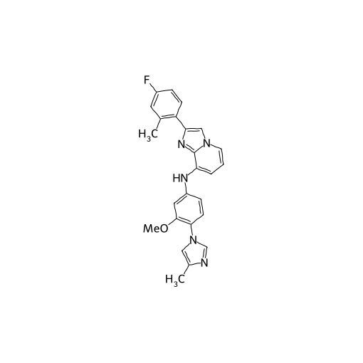 COc1cc(Nc2cccn3cc(-c4ccc(F)cc4C)nc23)ccc1-n1cnc(C)c1